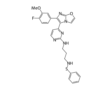 COc1cc(-c2nc3occn3c2-c2ccnc(NCCCNSc3ccccc3)n2)ccc1F